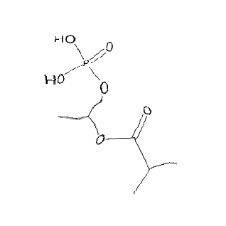 CC(OC(=O)C(C)C)OP(=O)(O)O